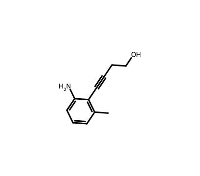 Cc1cccc(N)c1C#CCCO